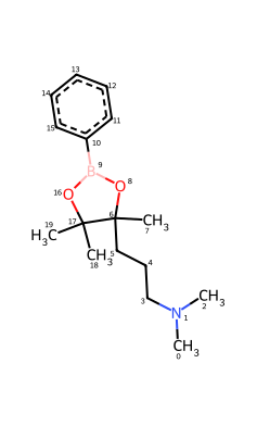 CN(C)CCCC1(C)OB(c2ccccc2)OC1(C)C